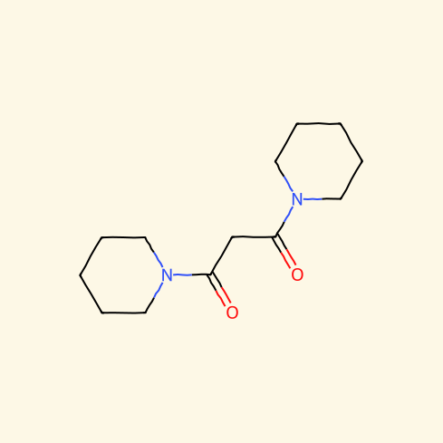 O=C(CC(=O)N1CCCCC1)N1CCCCC1